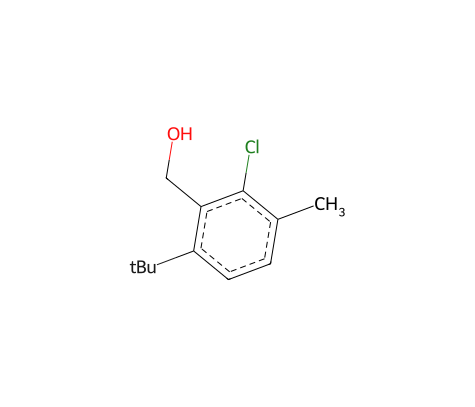 Cc1ccc(C(C)(C)C)c(CO)c1Cl